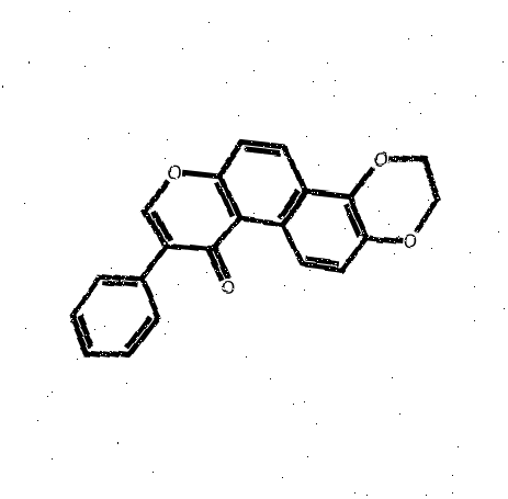 O=c1c(-c2ccccc2)coc2ccc3c4c(ccc3c12)OCCO4